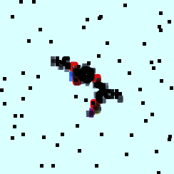 CCOc1noc2cc(OCCC(C)CCOSI)ccc12